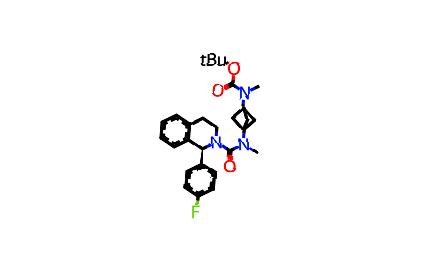 CN(C(=O)OC(C)(C)C)C12CC(N(C)C(=O)N3CCc4ccccc4[C@@H]3c3ccc(F)cc3)(C1)C2